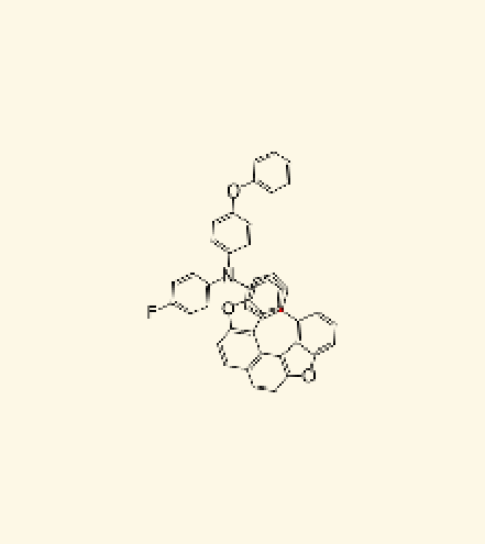 Fc1ccc(N(c2ccc(Oc3ccccc3)cc2)c2ccc(-c3cccc4oc5ccc6ccc7oc8ccccc8c7c6c5c34)cc2)cc1